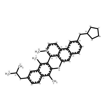 Cc1c2c(c(C)c3cc(CC(C)C)ccc13)-c1c3c(cc4ccc(CC5CCCC5)cc4c3cc[n+]1C)O2